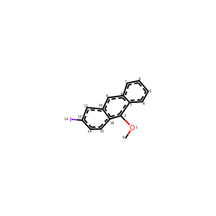 COc1c2ccccc2cc2cc(I)ccc12